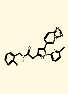 Cc1cccc(-n2nc(CC(=O)NCc3ccccc3F)cc2-c2ccc3ncnn3c2)n1